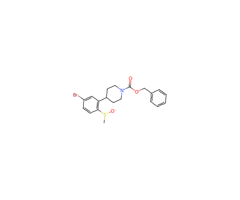 C[S+]([O-])c1ccc(Br)cc1C1CCN(C(=O)OCc2ccccc2)CC1